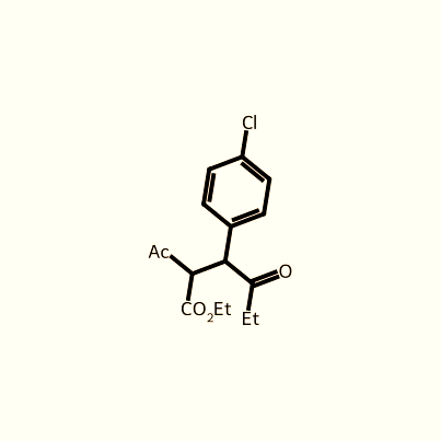 CCOC(=O)C(C(C)=O)C(C(=O)CC)c1ccc(Cl)cc1